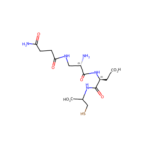 NC(=O)CCC(=O)NC[C@H](N)C(=O)N[C@@H](CC(=O)O)C(=O)NC(CS)C(=O)O